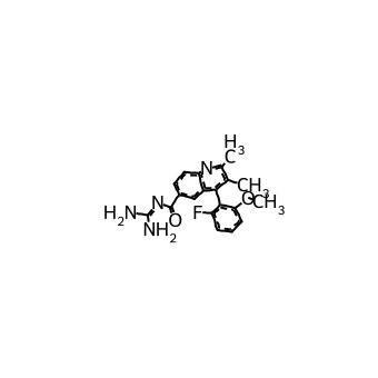 COc1cccc(F)c1-c1c(C)c(C)nc2ccc(C(=O)N=C(N)N)cc12